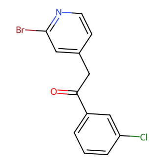 O=C(Cc1ccnc(Br)c1)c1cccc(Cl)c1